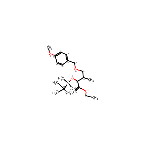 C=C(OCC)C(O[Si](C)(C)C(C)(C)C)C(C)COCc1ccc(OC)cc1